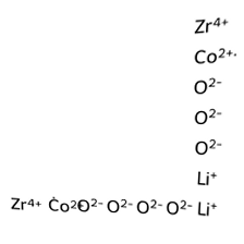 [Co+2].[Co+2].[Li+].[Li+].[O-2].[O-2].[O-2].[O-2].[O-2].[O-2].[O-2].[Zr+4].[Zr+4]